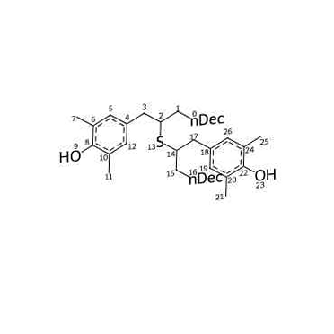 CCCCCCCCCCCC(Cc1cc(C)c(O)c(C)c1)SC(CCCCCCCCCCC)Cc1cc(C)c(O)c(C)c1